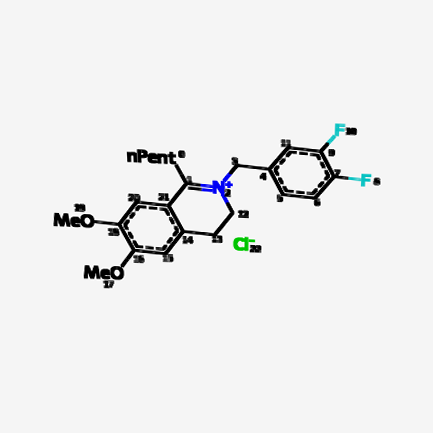 CCCCCC1=[N+](Cc2ccc(F)c(F)c2)CCc2cc(OC)c(OC)cc21.[Cl-]